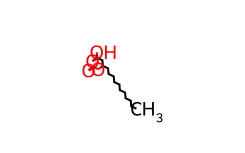 CCCCCCCCCCCC(CC(=O)O)OC=O